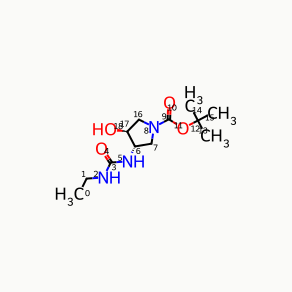 CCNC(=O)N[C@H]1CN(C(=O)OC(C)(C)C)C[C@@H]1O